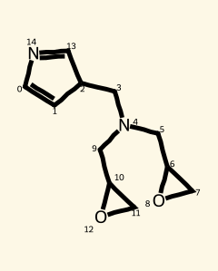 C1=CC(CN(CC2CO2)CC2CO2)C=N1